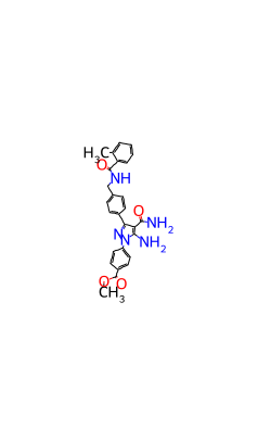 COC(=O)c1ccc(-n2nc(-c3ccc(CNC(=O)c4ccccc4C)cc3)c(C(N)=O)c2N)cc1